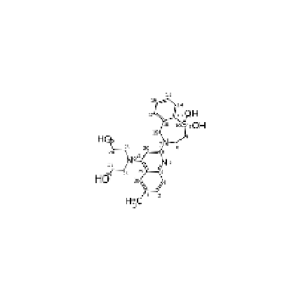 Cc1ccc2nc(N3CCS(O)(O)c4ccccc4C3)cc(N(CCO)CCO)c2c1